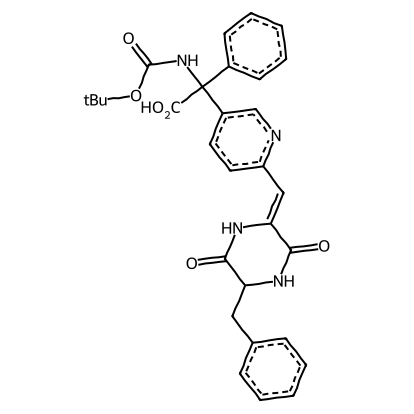 CC(C)(C)OC(=O)NC(C(=O)O)(c1ccccc1)c1ccc(C=C2NC(=O)C(Cc3ccccc3)NC2=O)nc1